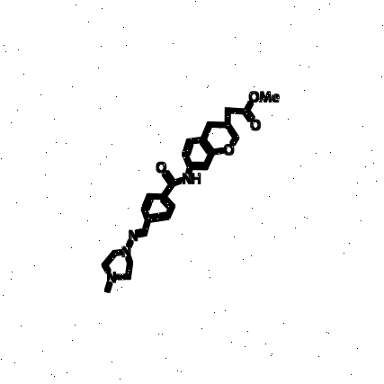 COC(=O)CC1COc2cc(NC(=O)c3ccc(/C=N/N4CCN(C)CC4)cc3)ccc2C1